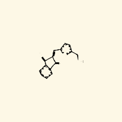 O=C1C(=Cc2ccc(CO)o2)C(=O)c2ccccc21